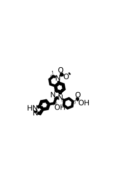 COC(=O)N1c2ccc3c(nc([C@H](O)c4ccc5[nH]ncc5c4)n3[C@@H]3CCC[C@@H](C(=O)O)C3)c2CC[C@@H]1C